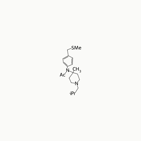 CSCc1ccc(N(C(C)=O)C2(C)CCN(C[C](C)C)CC2)cc1